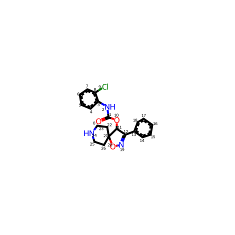 O=C(Nc1ccccc1Cl)OC1C(c2ccccc2)=NOC12CCNCC2